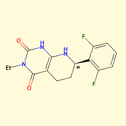 CCn1c(=O)[nH]c2c(c1=O)CC[C@H](c1c(F)cccc1F)N2